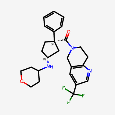 O=C(N1CCc2ncc(C(F)(F)F)cc2C1)[C@@]1(c2ccccc2)CC[C@@H](NC2CCOCC2)C1